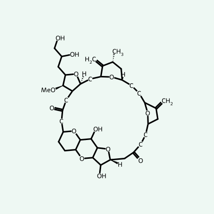 C=C1CC2CCC(=O)C[C@H]3OC4C(O)C5OC(CCC5OC4C3O)CC(=O)CC3[C@@H](OC)C(CC(O)CO)O[C@H]3CC3O[C@@H](CCC1O2)C[C@@H](C)C3=C